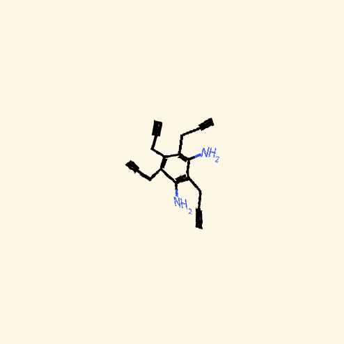 C#CCc1c(N)c(CC#C)c(CC#C)c(CC#C)c1N